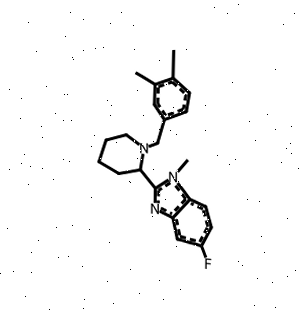 Cc1ccc(CN2CCCCC2c2nc3cc(F)ccc3n2C)cc1C